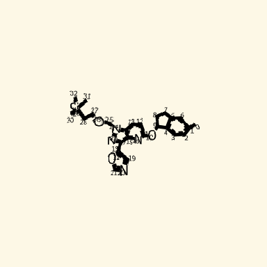 Cc1ccc2c(c1)CCC2Oc1ccc2c(n1)c(-c1cnco1)nn2COCC[Si](C)(C)C